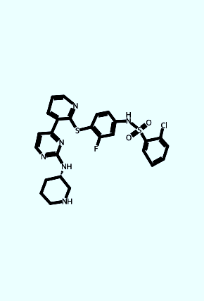 O=S(=O)(Nc1ccc(Sc2ncccc2-c2ccnc(N[C@H]3CCCNC3)n2)c(F)c1)c1ccccc1Cl